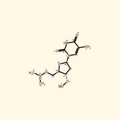 Cc1cn([C@H]2C[C@H](OC(C)(C)C)[C@@H](CO[SiH](C)C)O2)c(=O)[nH]c1=O